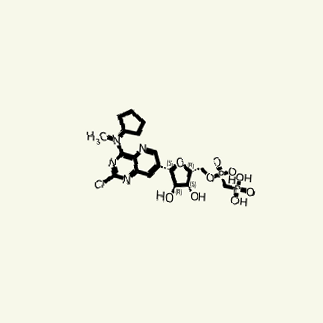 CN(c1nc(Cl)nc2cc([C@@H]3O[C@H](COP(=O)(O)CP(=O)(O)O)[C@@H](O)[C@H]3O)cnc12)C1CCCC1